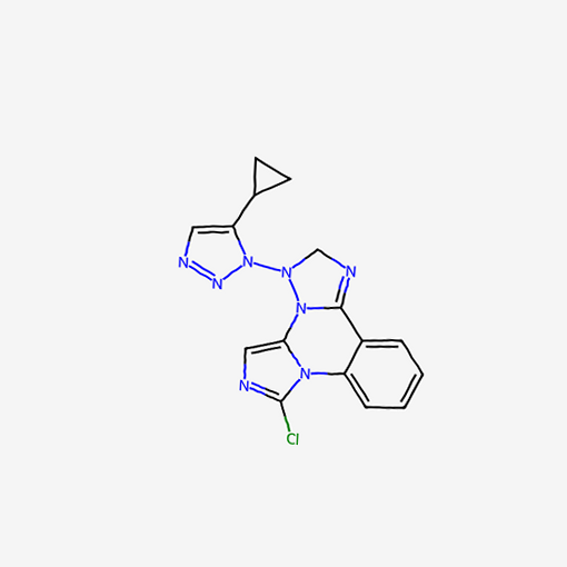 Clc1ncc2n1-c1ccccc1C1=NCN(n3nncc3C3CC3)N12